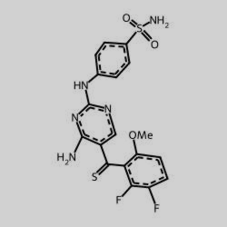 COc1ccc(F)c(F)c1C(=S)c1cnc(Nc2ccc(S(N)(=O)=O)cc2)nc1N